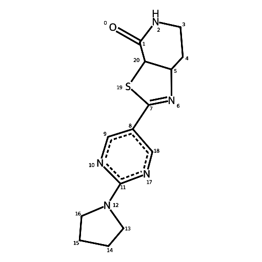 O=C1NCCC2N=C(c3cnc(N4CCCC4)nc3)SC12